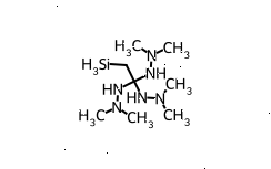 CN(C)NC(C[SiH3])(NN(C)C)NN(C)C